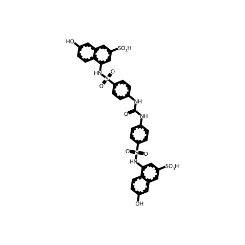 O=C(Nc1ccc(S(=O)(=O)Nc2cc(S(=O)(=O)O)cc3cc(O)ccc23)cc1)Nc1ccc(S(=O)(=O)Nc2cc(S(=O)(=O)O)cc3cc(O)ccc23)cc1